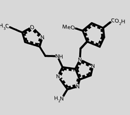 COc1cc(C(=O)O)ccc1Cn1ncc2nc(N)nc(NCc3cc(C)on3)c21